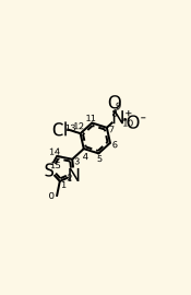 Cc1nc(-c2ccc([N+](=O)[O-])cc2Cl)cs1